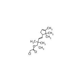 CC1=CC[C@H](/C=C/C(C)(C)[C@H](C)OC(=O)CCl)C1(C)C